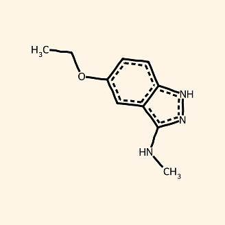 CCOc1ccc2[nH]nc(NC)c2c1